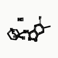 Cc1cc2onc(N[C@H]3CN4CCC3CC4)c2cc1F.Cl